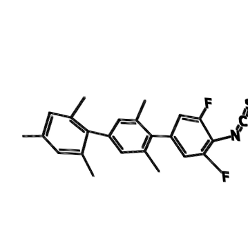 Cc1cc(C)c(-c2cc(C)c(-c3cc(F)c(N=C=S)c(F)c3)c(C)c2)c(C)c1